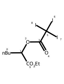 CCCCC(OC(=O)C(I)(I)I)C(=O)OCC